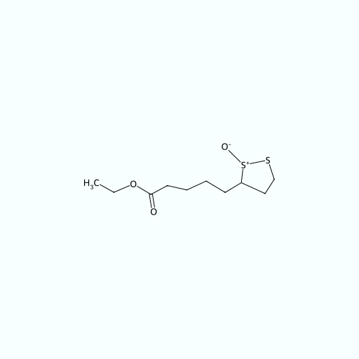 CCOC(=O)CCCCC1CCS[S+]1[O-]